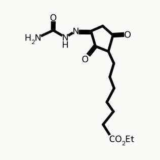 CCOC(=O)CCCCCCC1C(=O)C/C(=N/NC(N)=O)C1=O